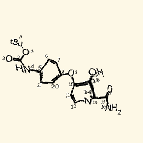 CC(C)(C)OC(=O)Nc1ccc(Oc2ccnc(C(N)=O)c2O)cc1